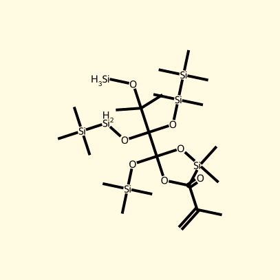 C=C(C)C(=O)OC(O[Si](C)(C)C)(O[Si](C)(C)C)C(O[SiH2][Si](C)(C)C)(O[Si](C)(C)[Si](C)(C)C)C(C)(C)O[SiH3]